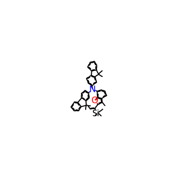 C/C=C(\c1oc2c(N(c3ccc4c(c3)C(C)(C)c3ccccc3-4)c3ccc4c(c3)C(C)(C)c3ccccc3-4)cccc2c1C)[Si](C)(C)C